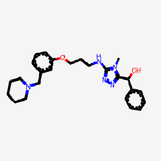 Cn1c(NCCCOc2cccc(CN3CCCCC3)c2)nnc1C(O)c1ccccc1